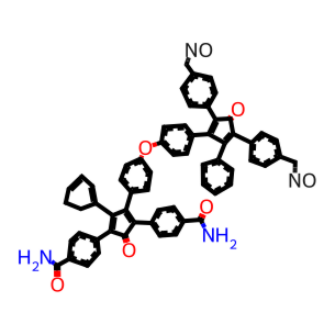 NC(=O)c1ccc(C2=C(C3=CC=CCC3)C(c3ccc(Oc4ccc(C5=C(c6ccc(CN=O)cc6)C(=O)C(c6ccc(CN=O)cc6)=C5c5ccccc5)cc4)cc3)=C(c3ccc(C(N)=O)cc3)C2=O)cc1